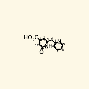 O=C(O)c1cc(Cc2ccccn2)[nH]c(=O)c1